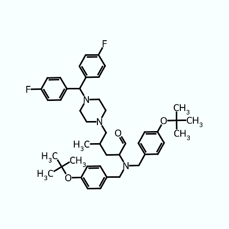 CC(CC(C=O)N(Cc1ccc(OC(C)(C)C)cc1)Cc1ccc(OC(C)(C)C)cc1)CN1CCN(C(c2ccc(F)cc2)c2ccc(F)cc2)CC1